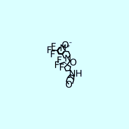 O=C(N1CCc2c(cc(C(F)(F)F)c[n+]2[O-])C1)[C@@]1(CC(F)(F)F)CC[C@@H](NC2C3CCC2COC3)C1